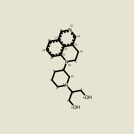 OCC(CO)N1CCCC(N2CCc3cncc4cccc2c34)C1